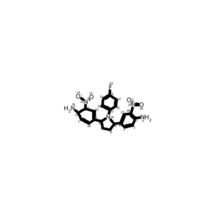 Nc1ccc(C2CCC(C3=CC([N+](=O)[O-])C(N)C=C3)N2c2ccc(F)cc2)cc1[N+](=O)[O-]